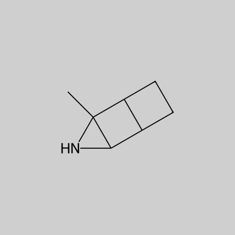 CC12NC1C1CCC12